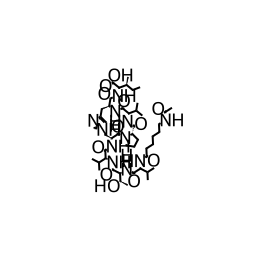 CC[C@H](C)[C@H](NC(=O)[C@H](Cc1c[nH]cn1)NC(=O)[C@@H](NC(=O)[C@@H]1CCCN1C(=O)[C@H](C)NC(=O)[C@@H](NC(=O)[C@@H](NC(=O)[C@@H](NC(=O)CCCCCNC(C)=O)C(C)C)[C@@H](C)O)C(C)C)C(C)C)C(=O)O